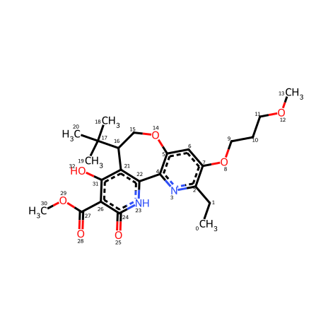 CCc1nc2c(cc1OCCCOC)OCC(C(C)(C)C)c1c-2[nH]c(=O)c(C(=O)OC)c1O